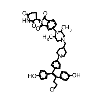 CC1CN(CC2CCN(c3ccc(C(=C(CCCl)c4ccc(O)cc4)c4ccc(O)cc4)cc3)CC2)CC(C)N1c1ccc2c(c1)C(=O)N(C1CCC(=O)NC1=O)C2=O